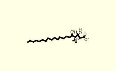 [2H]C(O)(CC(=O)[O-])C(C(=O)CCCCCCCCCCCCCCC)[N+](C)(C)C